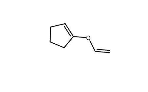 C=COC1=CCCC1